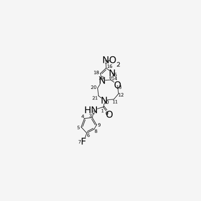 O=C(Nc1ccc(F)cc1)N1CCOc2nc([N+](=O)[O-])cn2CC1